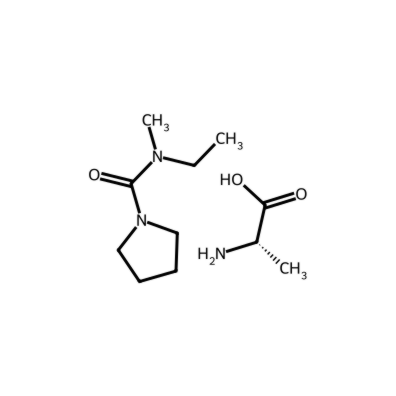 CCN(C)C(=O)N1CCCC1.C[C@H](N)C(=O)O